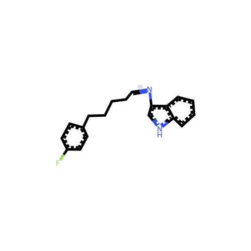 Fc1ccc(CCCC/C=N\c2c[nH]c3ccccc23)cc1